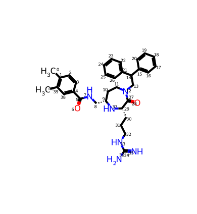 Cc1ccc(C(=O)NC[C@@H]2CCN(CC(c3ccccc3)c3ccccc3)C(=O)[C@H](CCCNC(=N)N)N2)cc1C